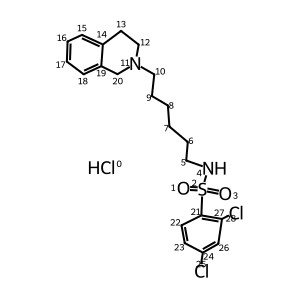 Cl.O=S(=O)(NCCCCCCN1CCc2ccccc2C1)c1ccc(Cl)cc1Cl